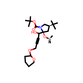 C[SiH](C)O[C@]1(C(O)C#CCOC2CCCCO2)C[C@H](C(C)(C)C)CN1C(=O)OC(C)(C)C